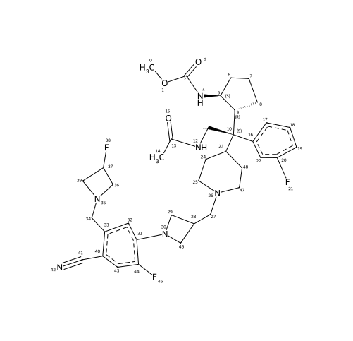 COC(=O)N[C@H]1CCC[C@@H]1[C@](CNC(C)=O)(c1cccc(F)c1)C1CCN(CC2CN(c3cc(CN4CC(F)C4)c(C#N)cc3F)C2)CC1